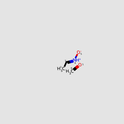 C=O.CC=[NH+][O-]